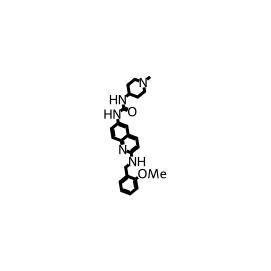 COc1ccccc1CNc1ccc2cc(NC(=O)NC3CCN(C)CC3)ccc2n1